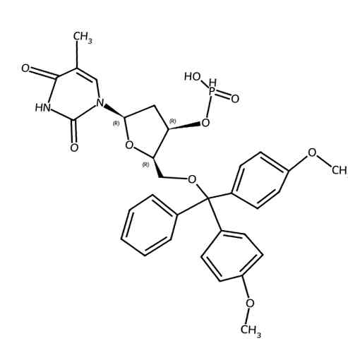 COc1ccc(C(OC[C@H]2O[C@@H](n3cc(C)c(=O)[nH]c3=O)C[C@H]2O[PH](=O)O)(c2ccccc2)c2ccc(OC)cc2)cc1